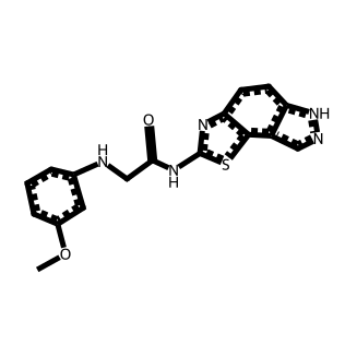 COc1cccc(NCC(=O)Nc2nc3ccc4[nH]ncc4c3s2)c1